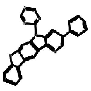 c1ccc(-c2cnc3c4cc5c(cc4n(-c4ncncn4)c3c2)sc2ccccc25)cc1